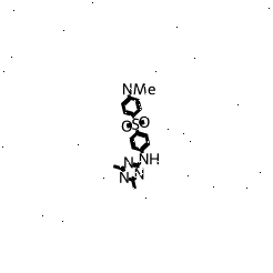 CNc1ccc(S(=O)(=O)c2ccc(Nc3nc(C)nc(C)n3)cc2)cc1